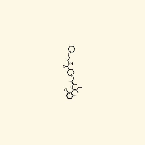 CC/C(C)=C(\O/C(C)=C(\C)CN1CCC(C(=O)NCCCN2CCCCC2)CC1)c1c(C)cccc1Cl